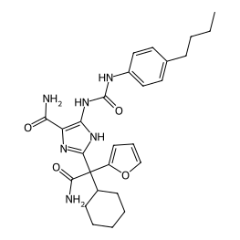 CCCCc1ccc(NC(=O)Nc2[nH]c(C(C(N)=O)(c3ccco3)C3CCCCC3)nc2C(N)=O)cc1